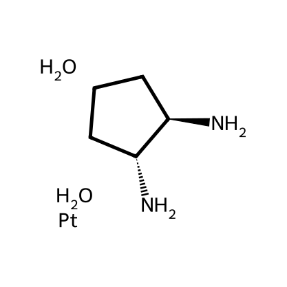 N[C@@H]1CCC[C@H]1N.O.O.[Pt]